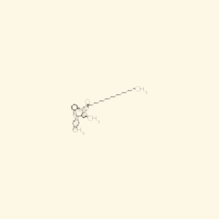 CCCCCCCCCCCCCCCCCC(=O)OCN1c2ccccc2N=C(N2CCN(C)CC2)c2cc(C)sc21